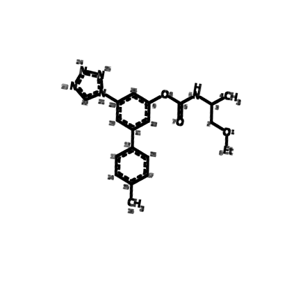 CCOCC(C)NC(=O)Oc1cc(-c2ccc(C)cc2)cc(-n2cnnn2)c1